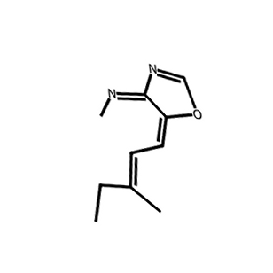 CC/C(C)=C/C=C1/OC=N/C1=N/C